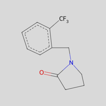 O=C1CCCN1Cc1ccccc1C(F)(F)F